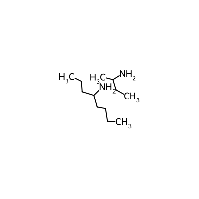 CCC(C)N.CCCCC(N)CCC